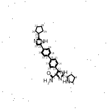 NC(=O)c1nc([C@@H]2CCCN2)[nH]c1-c1ccc(-c2ccc(-c3cnc(C4CCCC4)[nH]3)cc2)cc1